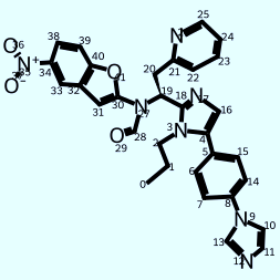 CCCn1c(-c2ccc(-n3ccnc3)cc2)cnc1[C@H](Cc1ccccn1)N(C=O)c1cc2cc([N+](=O)[O-])ccc2o1